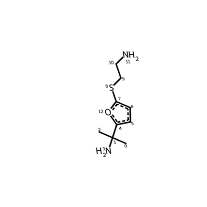 CC(C)(N)c1ccc(SCCN)o1